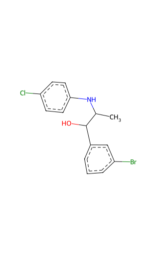 CC(Nc1ccc(Cl)cc1)C(O)c1cccc(Br)c1